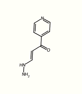 NN/C=C/C(=O)c1ccncc1